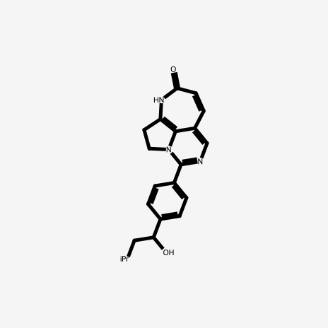 CC(C)CC(O)c1ccc(C2=NC=C3C=CC(=O)NC4=C3N2CC4)cc1